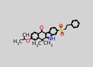 CC(C)Oc1ccc2c(c1)C(C)(C)c1[nH]c3cc(S(=O)(=O)CCc4ccccc4)ccc3c1C2=O